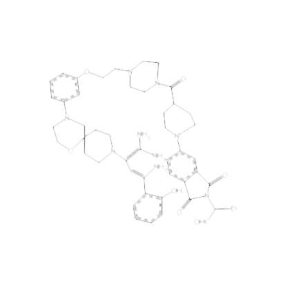 CCC(C=O)N1C(=O)c2ccc(N3CCC(C(=O)N4CCN(CCOc5cccc(N6CCOC7(CCN(C(/C=C(\N)c8ccccc8O)=C(N)N)CC7)C6)c5)CC4)CC3)cc2C1=O